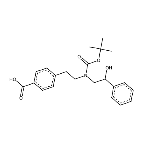 CC(C)(C)OC(=O)N(CCc1ccc(C(=O)O)cc1)CC(O)c1ccccc1